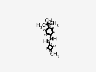 CC1CC(NNc2ccc(C(C)(C)C)cc2)C1